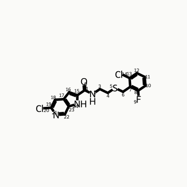 O=C(NCCSCc1c(F)cccc1Cl)c1cc2cc(Cl)ncc2[nH]1